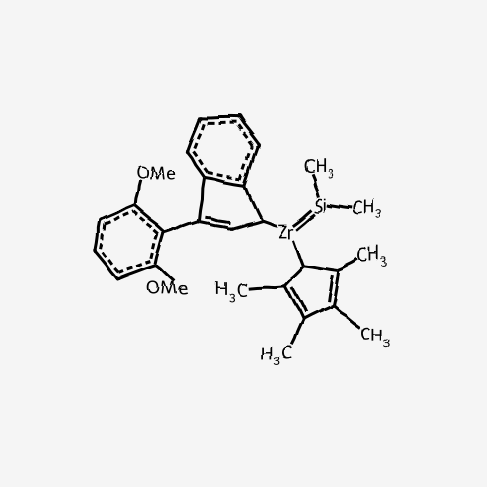 COc1cccc(OC)c1C1=C[CH]([Zr]([CH]2C(C)=C(C)C(C)=C2C)=[Si](C)C)c2ccccc21